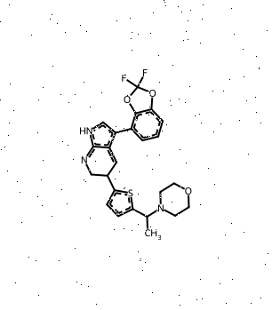 CC(c1ccc(C2C=c3c(-c4cccc5c4OC(F)(F)O5)c[nH]c3=NC2)s1)N1CCOCC1